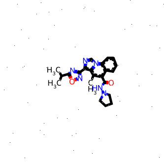 Cc1c(C(=O)NN2CCCC2)c2ccccc2n2cnc(-c3noc(C(C)C)n3)c12